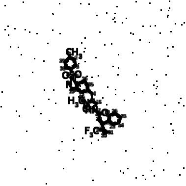 Cc1ccc(S(=O)(=O)n2ncc3cc(C[C@@H](CNC(=O)C=C(c4ccccc4)C4(C(F)(F)F)CC4)N(C)C)ccc32)cc1